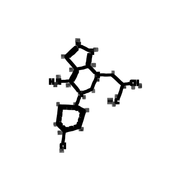 CC(C)CN1CN(c2ccc(Cl)cc2)C(N)=C2C=NN=C21